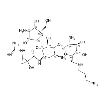 N=C(N)NC1CC1(O)C(=O)N[C@@H]1C[C@H](N)C(O[C@H]2O[C@H](CNCCCN)[C@@H](O)[C@H](O)[C@H]2N)[C@H](O)[C@H]1O[C@H]1O[C@H](CO)[C@@H](O)[C@H](N)[C@H]1O